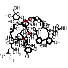 CN[C@H](CC(C)C)C(=O)N[C@H]1C(=O)N[C@@H](CC(N)=O)C(=O)N[C@H]2C(=O)N[C@H]3C(=O)N[C@H](C(=O)N[C@@H](C(=O)NNC(N)=O)c4cc(O)cc(O)c4-c4cc3ccc4O)[C@H](O)c3ccc(c(Cl)c3)Oc3cc2cc(c3O[C@@H]2O[C@H](CO)[C@@H](O)[C@H](O)[C@H]2O[C@H]2C[C@](C)(NCc3cncc(NC(=O)c4cc(Cl)cc(Cl)c4)c3)[C@H](O)[C@H](C)O2)Oc2ccc(cc2Cl)[C@H]1O